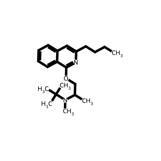 CCCCc1cc2ccccc2c(OCC(C)N(C)C(C)(C)C)n1